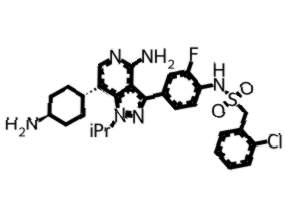 CC(C)n1nc(-c2ccc(NS(=O)(=O)Cc3ccccc3Cl)c(F)c2)c2c(N)ncc([C@H]3CC[C@H](N)CC3)c21